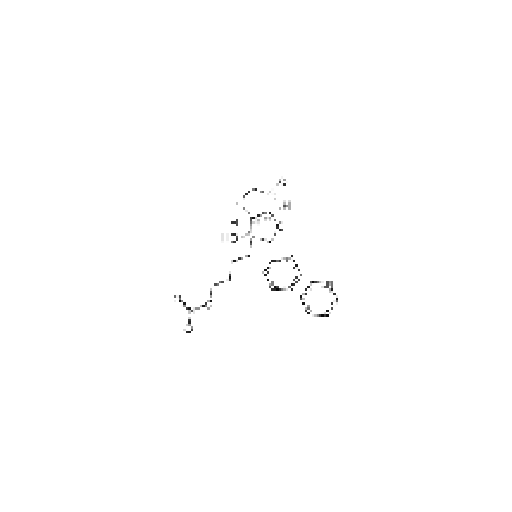 O=[N+]([O-])OCCCC[C@]1(O)CO[C@@H]2[C@@H](O)CO[C@@H]21.c1ccncc1.c1ccncc1